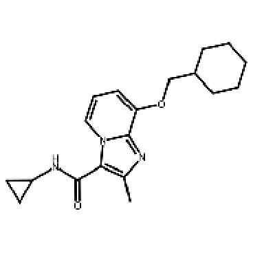 Cc1nc2c(OCC3CCCCC3)cccn2c1C(=O)NC1CC1